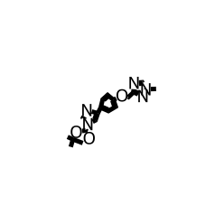 Cn1cnc(COc2ccc(-c3cn(C(=O)OC(C)(C)C)cn3)cc2)n1